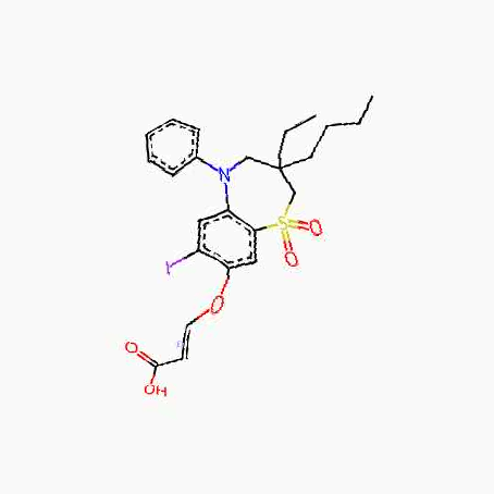 CCCCC1(CC)CN(c2ccccc2)c2cc(I)c(O/C=C/C(=O)O)cc2S(=O)(=O)C1